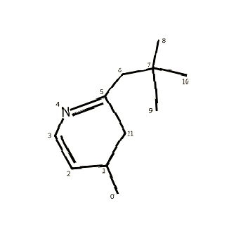 CC1C=CN=C(CC(C)(C)C)C1